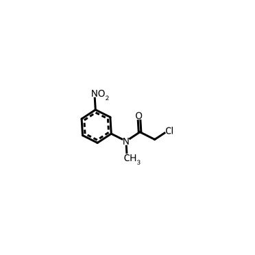 CN(C(=O)CCl)c1cccc([N+](=O)[O-])c1